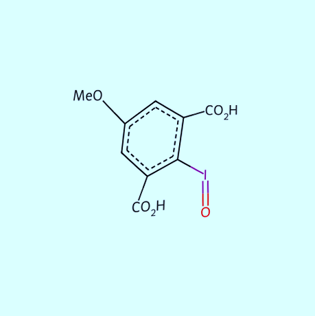 COc1cc(C(=O)O)c(I=O)c(C(=O)O)c1